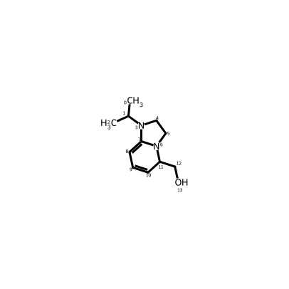 CC(C)N1CCN2C1=CC=CC2CO